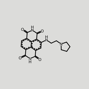 O=C1NC(=O)c2cc(NCCN3CCCC3)c3c4c(ccc1c24)C(=O)NC3=O